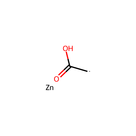 [CH2]C(=O)O.[Zn]